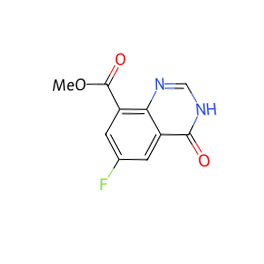 COC(=O)c1cc(F)cc2c(=O)[nH]cnc12